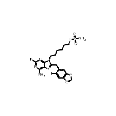 Nc1nc(F)nc2c1nc(Cc1cc3c(cc1I)OCO3)n2CCCCCCOS(N)(=O)=O